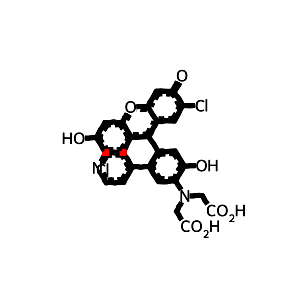 O=C(O)CN(CC(=O)O)c1cc(-c2ccncc2)c(-c2c3cc(Cl)c(=O)cc-3oc3cc(O)c(Cl)cc23)cc1O